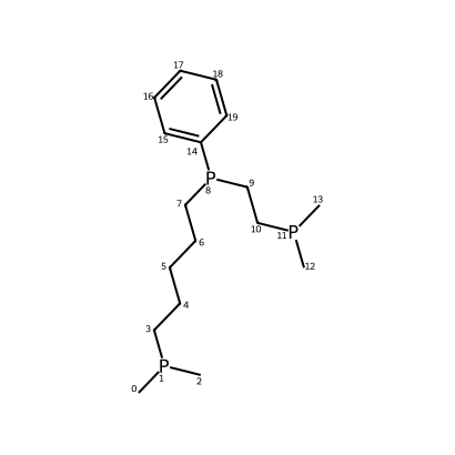 CP(C)CCCCCP(CCP(C)C)c1ccccc1